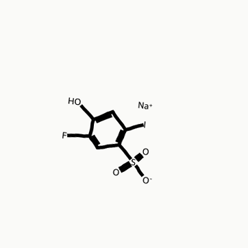 O=S(=O)([O-])c1cc(F)c(O)cc1I.[Na+]